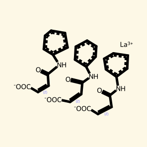 O=C([O-])/C=C\C(=O)Nc1ccccc1.O=C([O-])/C=C\C(=O)Nc1ccccc1.O=C([O-])/C=C\C(=O)Nc1ccccc1.[La+3]